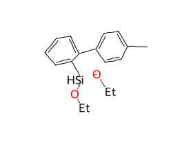 CCO[SiH](OCC)c1ccccc1-c1ccc(C)cc1